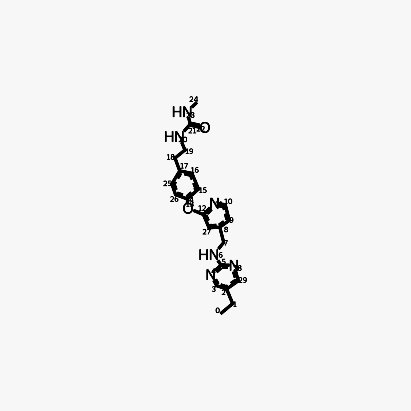 CCc1cnc(NCc2ccnc(Oc3ccc(CCNC(=O)NC)cc3)c2)nc1